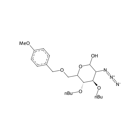 CCCCO[C@@H]1C(COCc2ccc(OC)cc2)OC(O)C(N=[N+]=[N-])[C@H]1OCCCC